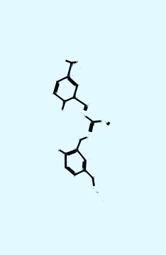 CNCc1ccc(Cl)c(C/N=C(N=O)\N=C\C2C=C(C(C)C)C=CC2C)c1